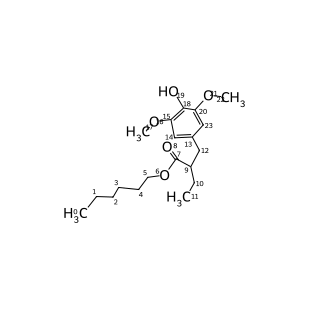 CCCCCCOC(=O)C(CC)Cc1cc(OC)c(O)c(OC)c1